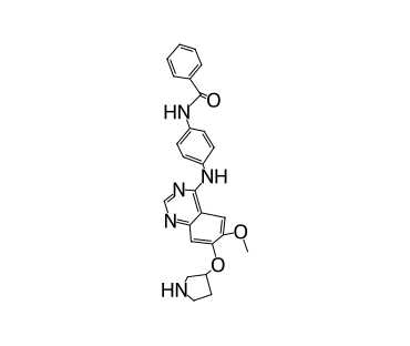 COc1cc2c(Nc3ccc(NC(=O)c4ccccc4)cc3)ncnc2cc1OC1CCNC1